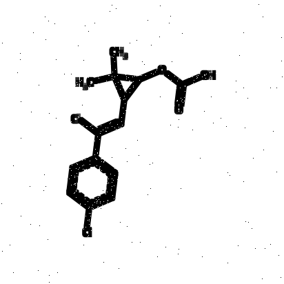 CC1(C)C(C=C(Cl)c2ccc(Cl)cc2)C1OC(=O)O